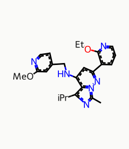 CCOc1ncccc1-c1cc(NCc2ccnc(OC)c2)c2c(C(C)C)nc(C)n2n1